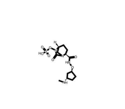 CN[C@H]1CC[C@H](ONC(=O)[C@@H]2CC[C@@H]3CN2C(=O)N3OS(=O)(=O)O)C1